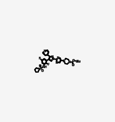 CC(C)(C)OC(=O)N1CCN(c2cnc(-n3cc(-c4cc(F)cc(NS(=O)(=O)N5CCCC5)c4F)c(-c4ccncc4)n3)nc2)CC1